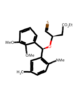 CCOC(=O)C[C@H](C=S)O[C@@H](c1cc(C)ccc1NC)c1cccc(OC)c1OC